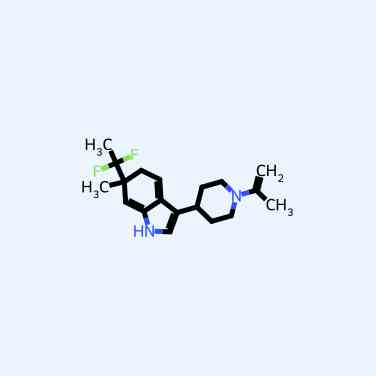 C=C(C)N1CCC(c2c[nH]c3c2=CCC(C)(C(C)(F)F)C=3)CC1